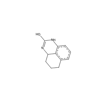 OC1=NC2CCCc3cccc(c32)N1